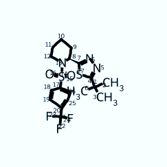 CC(C)(C)c1nnc([C@@H]2CCCCN2S(=O)(=O)c2ccc(C(F)(F)F)cc2)s1